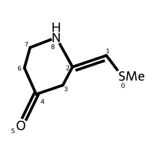 CSC=C1CC(=O)CCN1